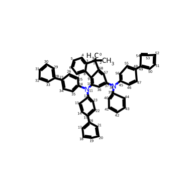 CC1(C)c2ccccc2-c2c(N(c3ccc(-c4ccccc4)cc3)c3ccc(-c4ccccc4)cc3)cc(N(c3ccccc3)c3ccc(-c4ccccc4)cc3)cc21